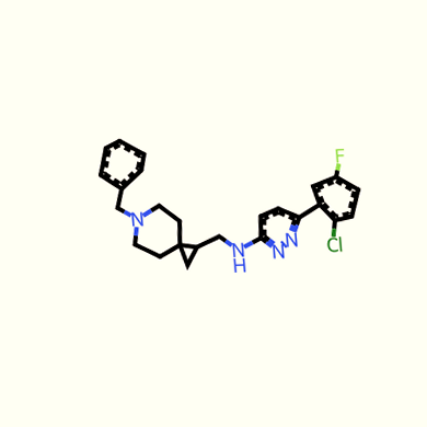 Fc1ccc(Cl)c(-c2ccc(NCC3CC34CCN(Cc3ccccc3)CC4)nn2)c1